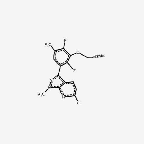 COCOc1c(F)c(-c2nn(C)c3nc(Cl)ccc23)cc(C(F)(F)F)c1F